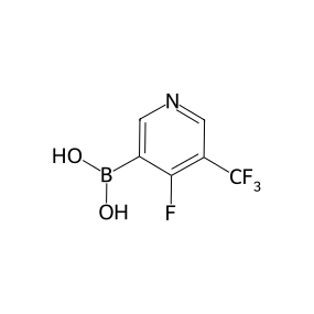 OB(O)c1cncc(C(F)(F)F)c1F